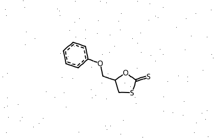 S=C1OC(COc2ccccc2)CS1